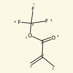 C=C(C)C(=O)OC(F)(F)F